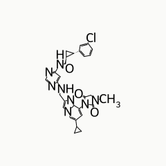 CN1CC(=O)N(c2cc(C3CC3)cn3cc(CNc4cc(NC(=O)[C@H]5C[C@@H]5c5cccc(Cl)c5)ncn4)nc23)C1=O